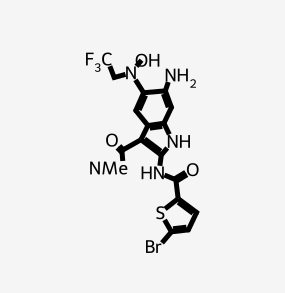 CNC(=O)c1c(NC(=O)c2ccc(Br)s2)[nH]c2cc(N)c(N(O)CC(F)(F)F)cc12